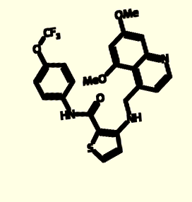 COc1cc(OC)c2c(CNc3ccsc3C(=O)Nc3ccc(OC(F)(F)F)cc3)ccnc2c1